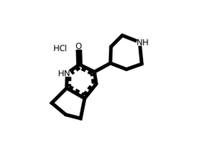 Cl.O=c1[nH]c2c(cc1C1CCNCC1)CCC2